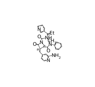 CC[C@@H](NC(=O)N1C(=O)[C@H](Cc2ccnc(N)c2)[C@H]1C(=O)N(C)c1ccccc1)c1cccnc1